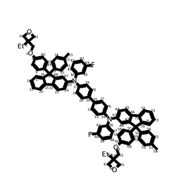 CCC1(COc2ccc(C3(c4ccc(C)cc4)c4ccccc4-c4ccc(N(c5ccc(-c6ccc(N(c7cccc(F)c7)c7ccc8c(c7)C(c7ccc(C)cc7)(c7ccc(OCC9(CC)COC9)cc7)c7ccccc7-8)cc6)cc5)c5cccc(F)c5)cc43)cc2)COC1